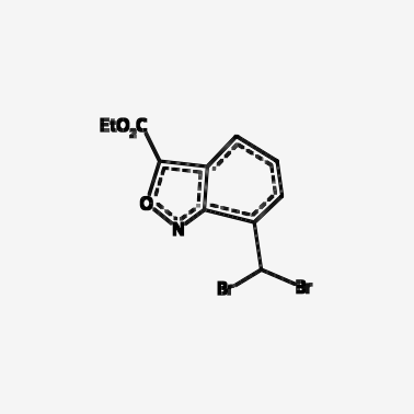 CCOC(=O)c1onc2c(C(Br)Br)cccc12